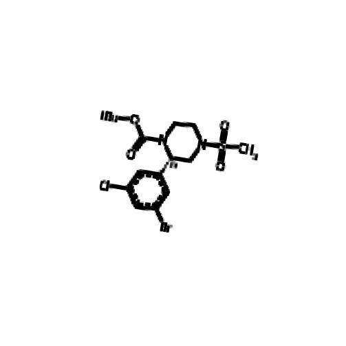 CC(C)(C)OC(=O)N1CCN(S(C)(=O)=O)C[C@@H]1c1cc(Cl)cc(Br)c1